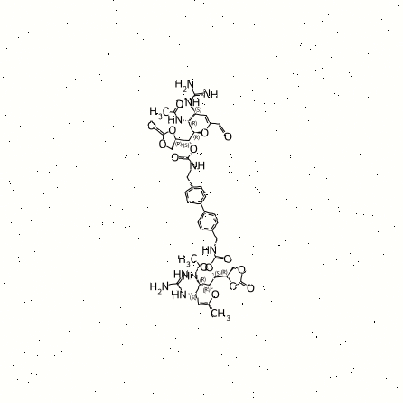 CC(=O)N[C@H]1[C@H]([C@H](OC(=O)NCc2ccc(-c3ccc(CNC(=O)O[C@@H]([C@@H]4OC(C=O)=C[C@H](NC(=N)N)[C@H]4NC(C)=O)[C@H]4COC(=O)O4)cc3)cc2)[C@H]2COC(=O)O2)OC(C)=C[C@@H]1NC(=N)N